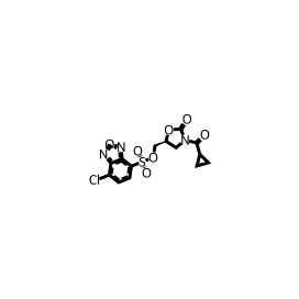 O=C1O[C@H](COS(=O)(=O)c2ccc(Cl)c3nonc23)CN1C(=O)C1CC1